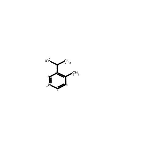 Cc1ccncc1C(C)C(C)C